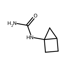 NC(=O)NC12CCC1C2